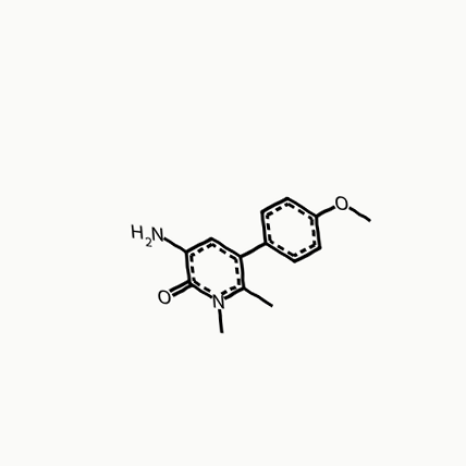 COc1ccc(-c2cc(N)c(=O)n(C)c2C)cc1